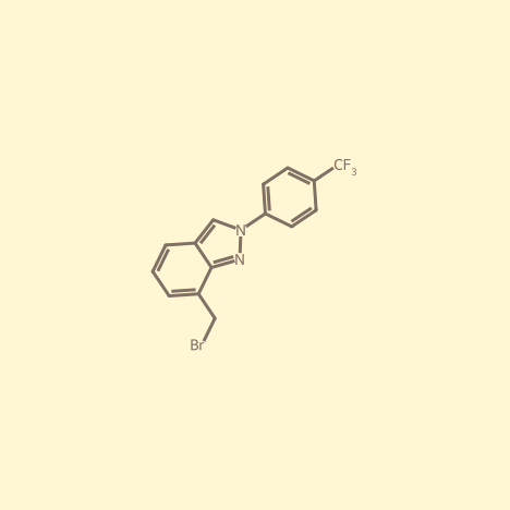 FC(F)(F)c1ccc(-n2cc3cccc(CBr)c3n2)cc1